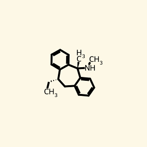 CC[C@H]1Cc2ccccc2[C@@](C)(NC)c2ccccc21